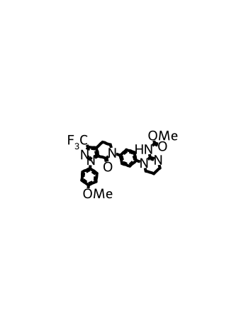 COC(=O)NC1=NCCCN1c1ccc(N2CCc3c(C(F)(F)F)nn(-c4ccc(OC)cc4)c3C2=O)cc1